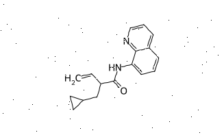 C=CC(CC1CC1)C(=O)Nc1cccc2cccnc12